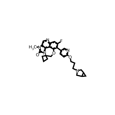 Cn1c(=O)n2c3c4c(c(-c5ccc(OCCCN6CC7CC7C6)nc5)c(F)cc4ncc31)OCC21CCC1